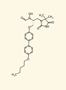 CCCCCOc1ccc(-c2ccc(OC[C@@H](CN3C(=O)NC(=O)C3(C)C)N(O)C=O)cc2)cc1